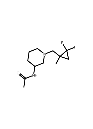 CC(=O)NC1CCCN(CC2(C)CC2(F)F)C1